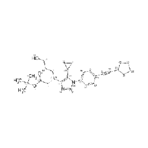 CC(C)(C)OC(=O)C[C@H](CCCO)c1nnn(-c2ccc(C#CC3CCCC3)cc2)c1C1CC1